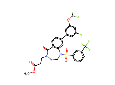 COC(=O)CCN1CCN(S(=O)(=O)c2cccc(C(F)(F)F)c2)c2cc(-c3cc(F)cc(OC(F)F)c3)ccc2C1=O